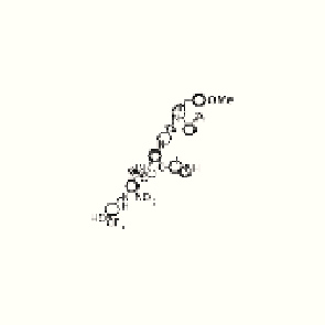 COc1ccc(CN2CCN(C3CC4(CCN(c5ccc(C(=O)NS(=O)(=O)c6ccc(NCC7CCC(O)(C(F)(F)F)CC7)c([N+](=O)[O-])c6)c(Oc6cnc7[nH]ccc7c6)c5)CC4)C3)C(c3ccccc3C(C)C)C2)cc1